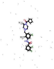 Cc1c(CN2CCN(C(=O)C3CCCC3)C(C)C2)cc(F)cc1NC(=O)c1cccc(F)c1F